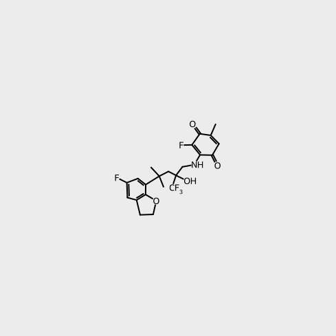 CC1=CC(=O)C(NCC(O)(CC(C)(C)c2cc(F)cc3c2OCC3)C(F)(F)F)=C(F)C1=O